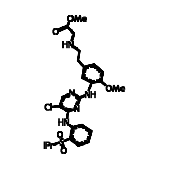 COC(=O)CNCCc1ccc(OC)c(Nc2ncc(Cl)c(Nc3ccccc3S(=O)(=O)C(C)C)n2)c1